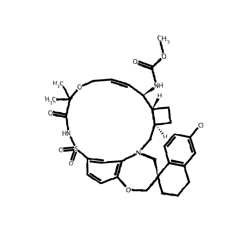 COC(=O)N[C@@H]1C=CCOC(C)(C)C(=O)NS(=O)(=O)c2ccc3c(c2)N(C[C@@H]2CC[C@H]21)C[C@@]1(CCCc2cc(Cl)ccc21)CO3